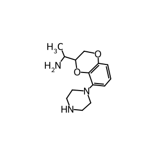 CC(N)C1COc2cccc(N3CCNCC3)c2O1